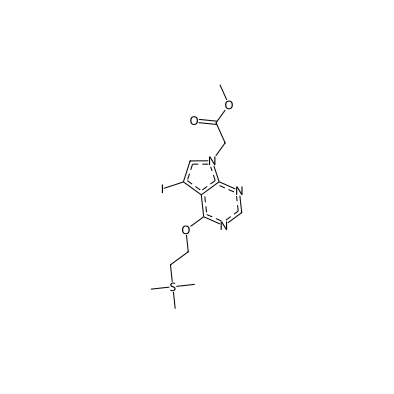 COC(=O)Cn1cc(I)c2c(OCCS(C)(C)C)ncnc21